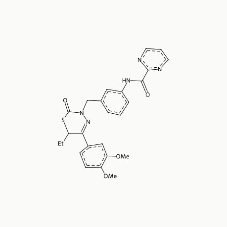 CCC1SC(=O)N(Cc2cccc(NC(=O)c3ncccn3)c2)N=C1c1ccc(OC)c(OC)c1